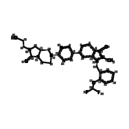 Cn1c(=O)c2ccc(-c3cnc(N4CCN5C(=O)N(CCO)CC5C4)nc3)cc2n1Cc1ccccc1OC(F)F